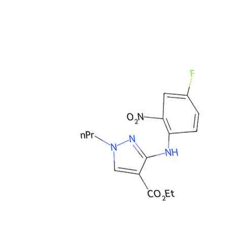 CCCn1cc(C(=O)OCC)c(Nc2ccc(F)cc2[N+](=O)[O-])n1